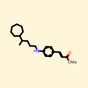 COC(=O)C=Cc1ccc(NCCCC(C)C2CCCCCC2)cc1